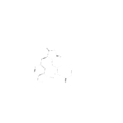 CCC(=O)O.CCCCC(CC)CN1C(=O)NC(=O)C1=Cc1ccc(OC)c(OC)c1